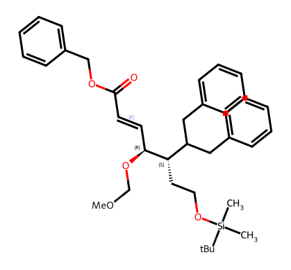 COCO[C@@H](/C=C/C(=O)OCc1ccccc1)[C@@H](CCO[Si](C)(C)C(C)(C)C)C(Cc1ccccc1)Cc1ccccc1